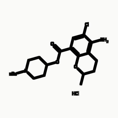 CCCCN1CCC(OC(=O)c2cc(Cl)c(N)c3c2OC(C)CC3)CC1.Cl